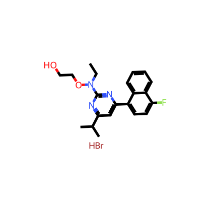 Br.CCN(OCCO)c1nc(-c2ccc(F)c3ccccc23)cc(C(C)C)n1